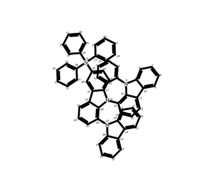 c1ccc(-n2c3ccccc3c3cccc(-n4c5ccc([Si](c6ccccc6)(c6ccccc6)c6ccccc6)cc5c5cccc(-n6c7ccccc7c7ccccc76)c54)c32)cc1